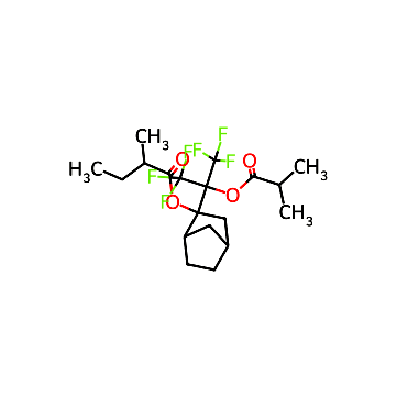 CCC(C)C(=O)OC1(C(OC(=O)C(C)C)(C(F)(F)F)C(F)(F)F)CC2CCC1C2